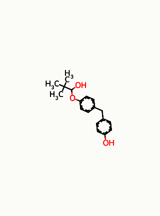 CC(C)(C)C(O)Oc1ccc(Cc2ccc(O)cc2)cc1